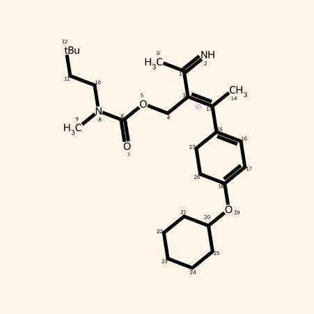 CC(=N)/C(COC(=O)N(C)CCC(C)(C)C)=C(\C)C1=CC=C(OC2CCCCC2)CC1